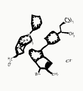 CC1=C2c3cn(-c4ccccc4)cc3C1[Si]2(C)C.CCC(C)c1ccc(-c2cccc3c2C=C(C)[CH]3[Zr+2])cc1.[Cl-].[Cl-]